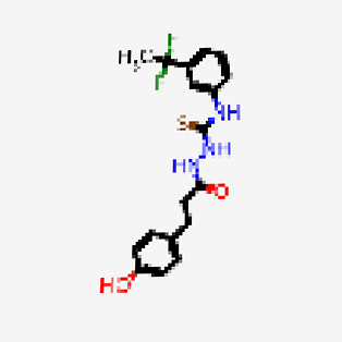 CC(F)(F)c1cccc(NC(=S)NNC(=O)CCc2ccc(O)cc2)c1